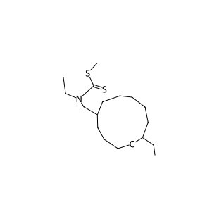 CCC1CCCCCC(CN(CC)C(=S)SC)CCCC1